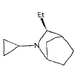 CC[C@H]1C2CCC(C2)N1C1CC1